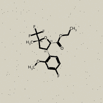 CCOC(=O)[C@H]1O[C@@](C)(C(F)(F)F)C[C@H]1c1ccc(F)cc1OC